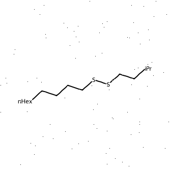 CCCCCCCCCCSSCCC(C)C